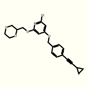 CCc1cc(OCc2ccc(C#CC3CC3)cc2)cc(OCC2COCCO2)n1